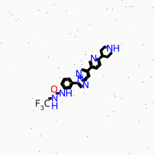 O=C(NCC(F)(F)F)Nc1cccc(-c2cnc3cc(-c4ccc(C5CCNCC5)nc4)cnn23)c1